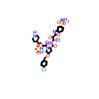 CC[C@H](NC(=O)[C@@H]1C[C@@H](OCc2ccc(Cl)cc2)CN1C(=O)[C@@H](CCC1CCNCC1)NS(C)(=O)=O)C(=O)c1nc2cc(S(N)(=O)=O)ccc2o1